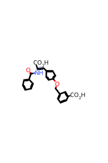 O=C(O)/C(=C/c1ccc(OCc2cccc(C(=O)O)c2)cc1)NC(=O)c1ccccc1